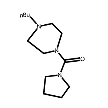 CCCCN1CCN(C(=O)N2CCCC2)CC1